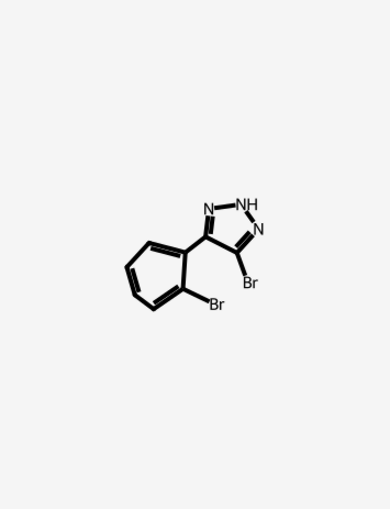 Brc1ccccc1-c1n[nH]nc1Br